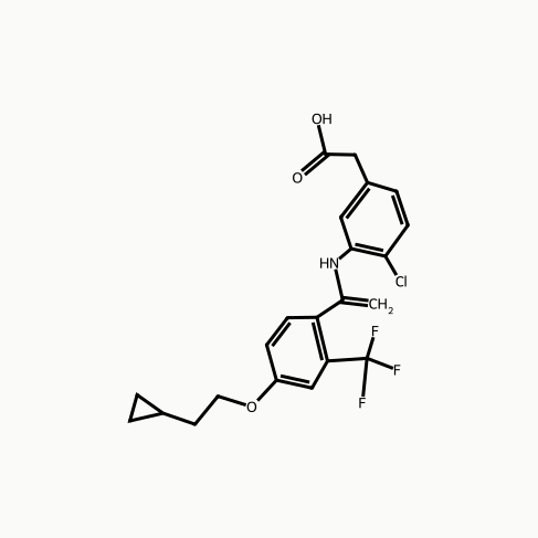 C=C(Nc1cc(CC(=O)O)ccc1Cl)c1ccc(OCCC2CC2)cc1C(F)(F)F